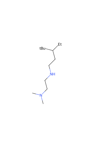 CCC(CCNCCN(C)C)C(C)(C)C